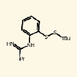 CC(C)C(=N)Nc1ccccc1SSC(C)(C)C